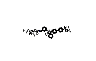 CN(C)CCOC(=O)/C=C/c1cccc(NC(=O)C2(Cc3ccc(-c4ccc(N(C)C)cc4)cc3)CCCCC2)c1